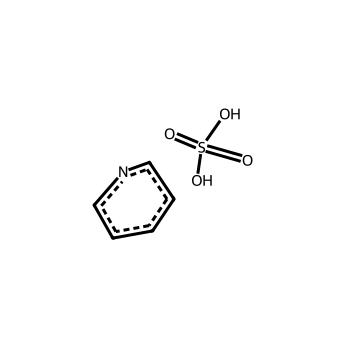 O=S(=O)(O)O.c1ccncc1